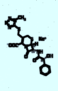 Cn1nnnc1SCC1=C(C(=O)[O-])N2C(=O)[C@@H](NC(=O)[C@H](O)c3ccccc3)[C@H]2SC1.[Na+]